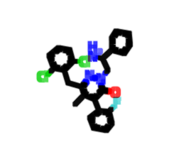 Cc1c(Cc2c(Cl)cccc2Cl)nn(CC(N)c2ccccc2)c(=O)c1-c1ccccc1F